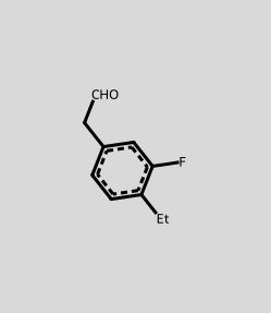 CCc1ccc(CC=O)cc1F